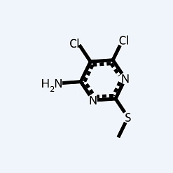 CSc1nc(N)c(Cl)c(Cl)n1